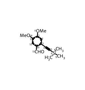 COc1cc(C#C[Si](C)(C)C)c(C=O)cc1OC